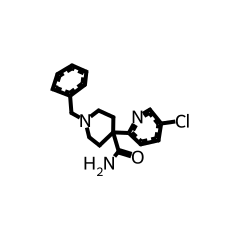 NC(=O)C1(c2ccc(Cl)cn2)CCN(Cc2ccccc2)CC1